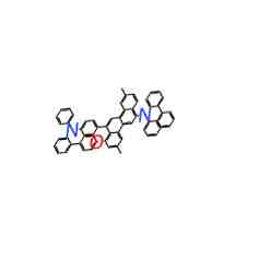 Cc1ccc2c(N(c3ccccc3)c3ccccc3-c3ccccc3)cc3c4cc(C)cc5c4c(cc3c2c1)-c1ccc(N(c2ccccc2)c2ccccc2-c2ccccc2)cc1O5